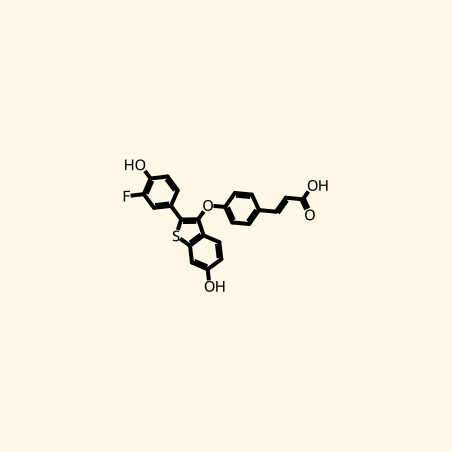 O=C(O)/C=C/c1ccc(Oc2c(-c3ccc(O)c(F)c3)sc3cc(O)ccc23)cc1